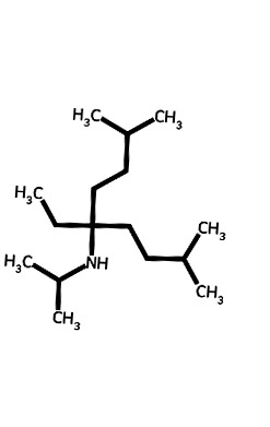 CCC(CCC(C)C)(CCC(C)C)NC(C)C